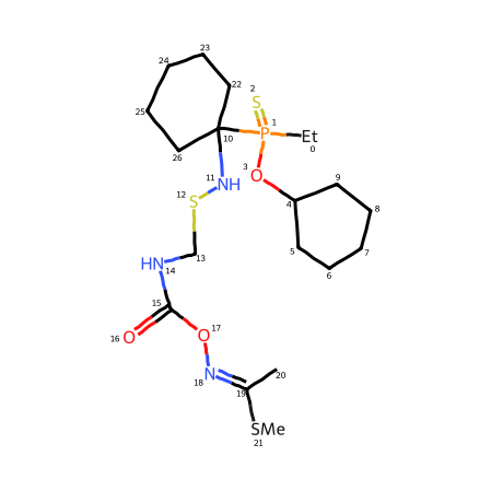 CCP(=S)(OC1CCCCC1)C1(NSCNC(=O)ON=C(C)SC)CCCCC1